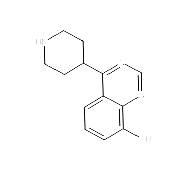 Cc1cccc2c(C3CCNCC3)ncnc12